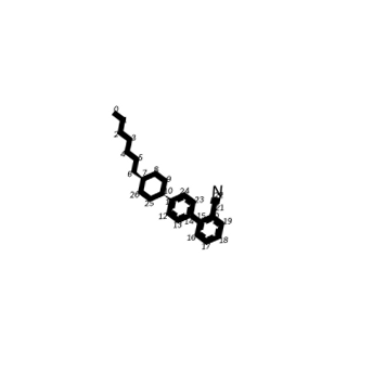 CCCCCCC[C@H]1CC[C@H](c2ccc(-c3ccccc3C#N)cc2)CC1